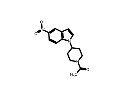 CC(=O)N1CCC(n2ccc3cc([N+](=O)[O-])ccc32)CC1